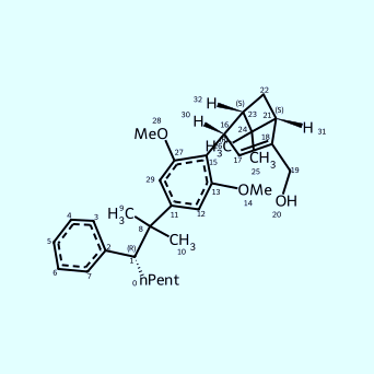 CCCCC[C@H](c1ccccc1)C(C)(C)c1cc(OC)c([C@H]2C=C(CO)[C@H]3C[C@@H]2C3(C)C)c(OC)c1